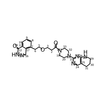 O=C(CCOCCc1cccc2c(=O)[nH]ncc12)N1CCN(c2ncc3c(n2)NCCC3)CC1